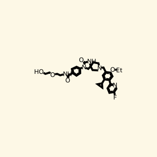 CCOc1cc(-c2ccc(F)cn2)c(C2CC2)cc1CN1CCC2(CC1)CN(c1ccc(C(=O)NCCOCCO)cc1)C(=O)N2